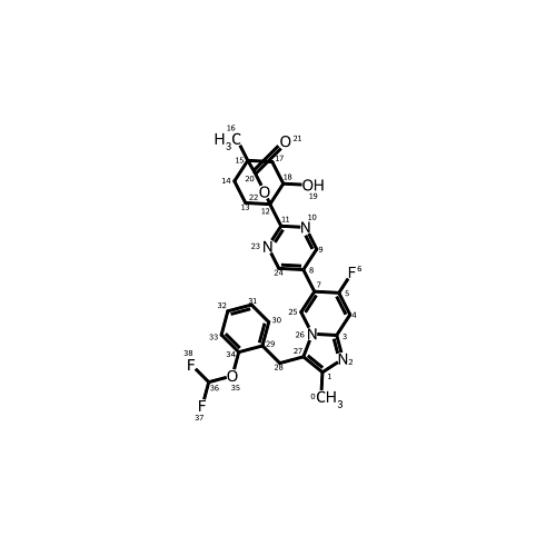 Cc1nc2cc(F)c(-c3cnc(C45CCC(C)(CC4O)C(=O)O5)nc3)cn2c1Cc1ccccc1OC(F)F